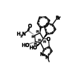 Cn1cc2c(n1)[C@]1(O)[C@H](O)[C@H](C(N)=O)[C@@H](c3ccccc3)[C@]1(c1ccc(Br)cc1)O2